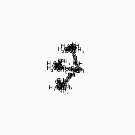 CC(=O)N[C@H]1[C@H](OCCOCCOCCOCC(=O)NCCCC[C@H](NC(=O)[C@H](CCCCNC(=O)COCCOCCOCCO[C@@H]2O[C@H](COC(C)=O)[C@H](OC(C)=O)[C@H](OC(C)=O)[C@H]2NC(C)C)CNC(=O)COCCOCCOCCO[C@@H]2O[C@H](COC(C)=O)[C@H](OC(C)=O)[C@H](OC(C)=O)[C@H]2NC(C)=O)C(=O)O)O[C@H](COC(C)=O)[C@H](OC(C)=O)[C@@H]1OC(C)=O